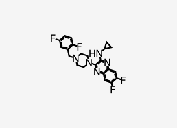 Fc1ccc(F)c(CN2CCN(c3nc4cc(F)c(F)cc4nc3NC3CC3)CC2)c1